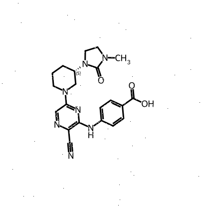 CN1CCN([C@H]2CCCN(c3cnc(C#N)c(Nc4ccc(C(=O)O)cc4)n3)C2)C1=O